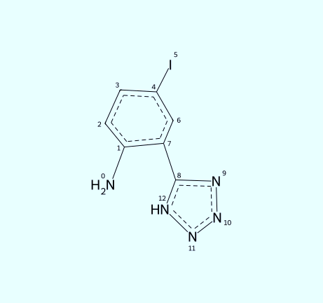 Nc1ccc(I)cc1-c1nnn[nH]1